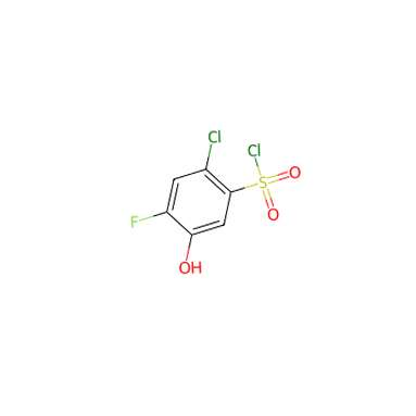 O=S(=O)(Cl)c1cc(O)c(F)cc1Cl